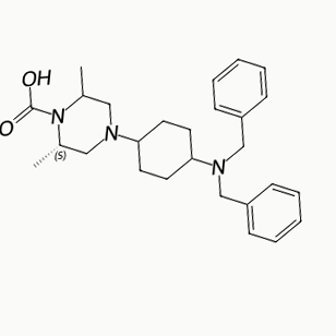 CC1CN(C2CCC(N(Cc3ccccc3)Cc3ccccc3)CC2)C[C@H](C)N1C(=O)O